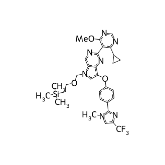 COc1ncnc(C2CC2)c1-c1ncc2c(n1)c(Oc1ccc(-c3nc(C(F)(F)F)cn3C)cc1)cn2COCC[Si](C)(C)C